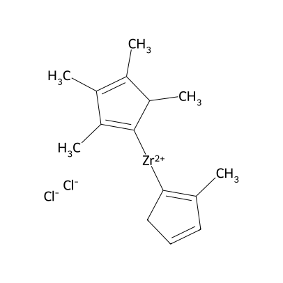 CC1=[C]([Zr+2][C]2=C(C)C(C)=C(C)C2C)CC=C1.[Cl-].[Cl-]